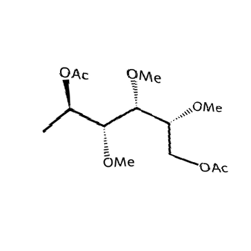 CO[C@@H]([C@H](OC)[C@@H](COC(C)=O)OC)[C@@H](C)OC(C)=O